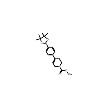 CC(C)(C)OC(=O)N1CC=C(c2ccc(B3OC(C)(C)C(C)(C)O3)cc2)CC1